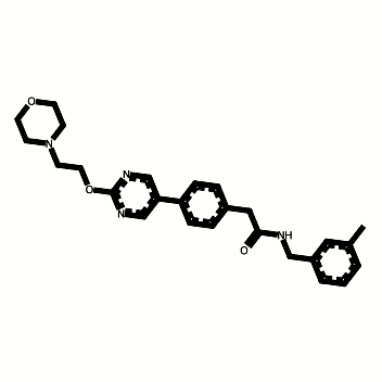 Cc1cccc(CNC(=O)Cc2ccc(-c3cnc(OCCN4CCOCC4)nc3)cc2)c1